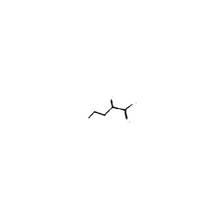 CCCC(O)C(O)CCC(C)(C)C